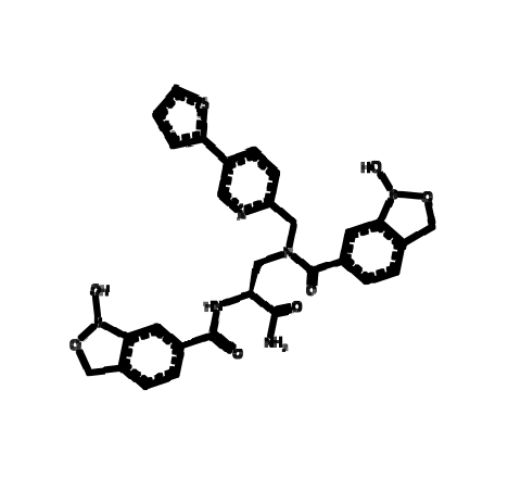 NC(=O)[C@H](CN(Cc1ccc(-c2cccs2)cn1)C(=O)c1ccc2c(c1)B(O)OC2)NC(=O)c1ccc2c(c1)B(O)OC2